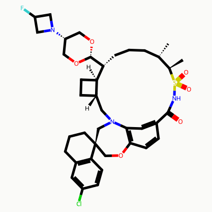 C[C@@H]1[C@@H](C)CCC[C@@H]([C@H]2OC[C@@H](N3CC(F)C3)CO2)[C@@H]2CC[C@H]2CN2C[C@@]3(CCCc4cc(Cl)ccc43)COc3ccc(cc32)C(=O)NS1(=O)=O